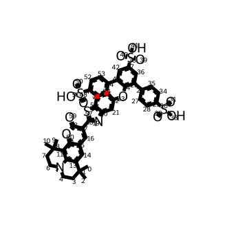 CC1(C)CCN2CCC(C)(C)c3c2c1cc1cc(-c2nc4cc(Oc5c(-c6ccc(S(=O)(=O)O)cc6)cc(S(=O)(=O)O)cc5-c5ccc(S(=O)(=O)O)cc5)ccc4s2)c(=O)oc31